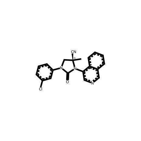 C[C@@]1(C#N)CN(c2cccc(Cl)c2)C(=O)N1c1cncc2ccccc12